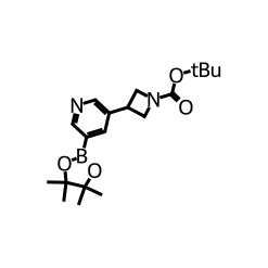 CC(C)(C)OC(=O)N1CC(c2cncc(B3OC(C)(C)C(C)(C)O3)c2)C1